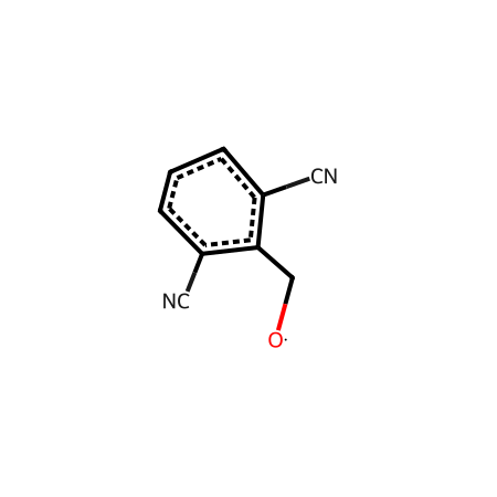 N#Cc1cccc(C#N)c1C[O]